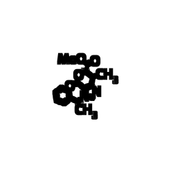 COC(=O)[C@@H]1OC(=O)c2c(ncn2[C@H](C)c2ccccc2)C1C